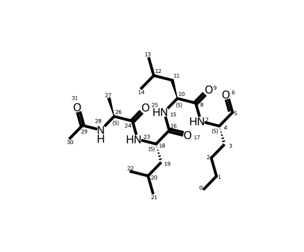 CCCC[C@@H](C=O)NC(=O)[C@H](CC(C)C)NC(=O)[C@H](CC(C)C)NC(=O)[C@H](C)NC(C)=O